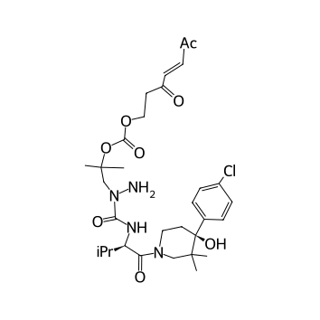 CC(=O)/C=C/C(=O)CCOC(=O)OC(C)(C)CN(N)C(=O)N[C@@H](C(=O)N1CC[C@](O)(c2ccc(Cl)cc2)C(C)(C)C1)C(C)C